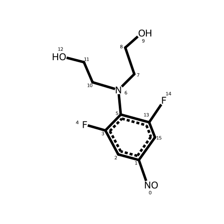 O=Nc1cc(F)c(N(CCO)CCO)c(F)c1